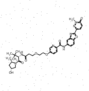 C[C@@H]1C[C@@H](O)CN1C(=O)[C@@H](NC(=O)CCOCCOc1ccc(C(=O)Nc2ccc3oc(-c4ccc(=O)n(C)n4)nc3c2)nc1)C(C)(C)C